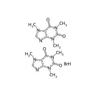 Br.Cn1c(=O)c2c(ncn2C)n(C)c1=O.Cn1c(=O)c2c(ncn2C)n(C)c1=O